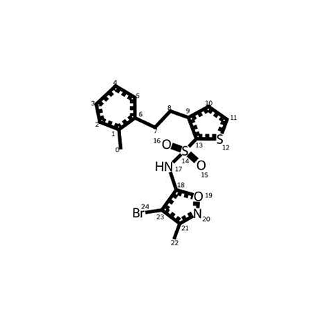 Cc1ccccc1CCc1ccsc1S(=O)(=O)Nc1onc(C)c1Br